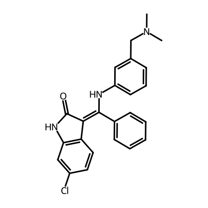 CN(C)Cc1cccc(N/C(=C2\C(=O)Nc3cc(Cl)ccc32)c2ccccc2)c1